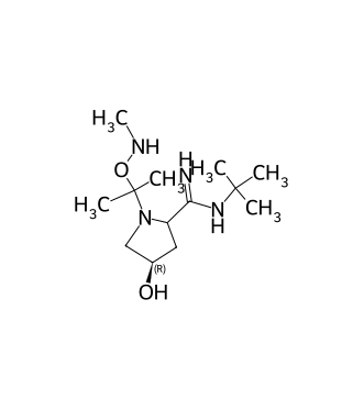 CNOC(C)(C)N1C[C@H](O)CC1C(=N)NC(C)(C)C